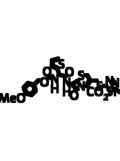 COc1ccc(COC(=O)NC(C(=O)N[C@H]2C(=O)N3C(C(=O)O)=C(CSc4nnc(C)s4)CSC23)c2cccs2)cc1